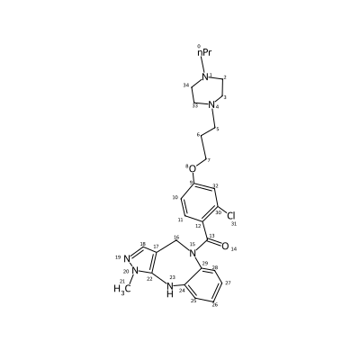 CCCN1CCN(CCCOc2ccc(C(=O)N3Cc4cnn(C)c4Nc4ccccc43)c(Cl)c2)CC1